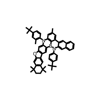 Cc1cc2c3c(c1)N(c1ccc(C(C)(C)C)cc1C)c1cc4oc5cc6c(cc5c4cc1B3N(c1ccc(C(C)(C)C)cc1)c1cc3ccccc3cc1-2)C(C)(C)CCC6(C)C